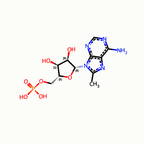 Cc1nc2c(N)ncnc2n1[C@@H]1O[C@H](COP(=O)(O)O)[C@@H](O)[C@H]1O